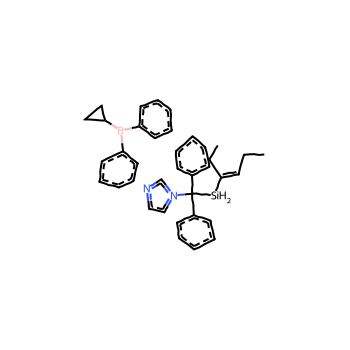 CCC=C(CC)[SiH2]C(c1ccccc1)(c1ccccc1)n1ccnc1.c1ccc(B(c2ccccc2)C2CC2)cc1